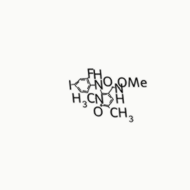 CONC(=O)c1cc(C)c(=O)n(C)c1Nc1ccc(I)cc1F